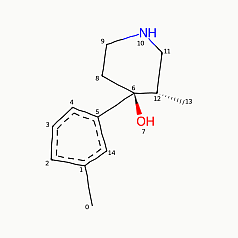 Cc1cccc([C@]2(O)CCNC[C@@H]2C)c1